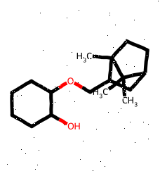 CC1(C)C2CCC1(C)C(COC1CCCCC1O)C2